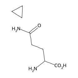 C1CC1.NC(=O)CCC(N)C(=O)O